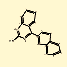 CC(C)(C)c1nc(-c2ccc3ccccc3c2)c2ccccc2n1